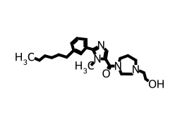 CCCCCCc1cccc(-c2ncc(C(=O)N3CCCN(CCO)CC3)n2C)c1